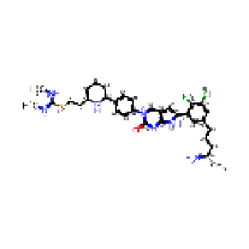 C/N=C(\NC)SCCC1CCCC(c2ccc(-n3cc4cc(-c5cc(CCC[C@H](C)N)cc(Cl)c5F)[nH]c4nc3=O)cc2)N1